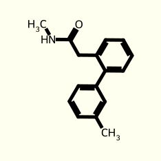 CNC(=O)Cc1ccccc1-c1cccc(C)c1